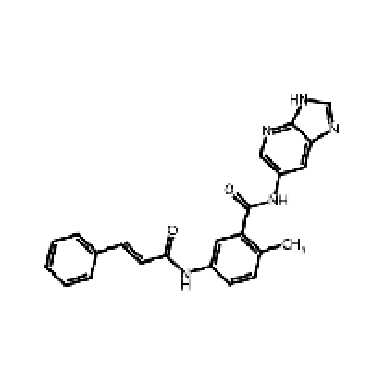 Cc1ccc(NC(=O)/C=C/c2ccccc2)cc1C(=O)Nc1cnc2[nH]cnc2c1